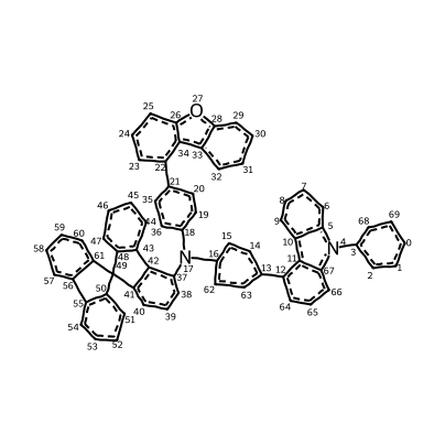 c1ccc(-n2c3ccccc3c3c(-c4ccc(N(c5ccc(-c6cccc7oc8ccccc8c67)cc5)c5cccc6c5-c5ccccc5C65c6ccccc6-c6ccccc65)cc4)cccc32)cc1